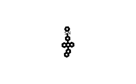 c1ccc2cc(-c3c4ccccc4c(-c4ccc(-c5nc6ccccc6s5)cc4)c4ccccc34)ccc2c1